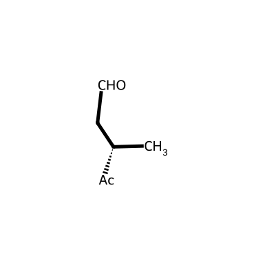 CC(=O)[C@@H](C)CC=O